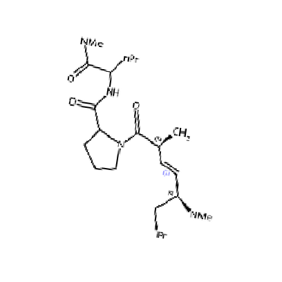 CCCC(NC(=O)C1CCCN1C(=O)[C@@H](C)/C=C/[C@H](CC(C)C)NC)C(=O)NC